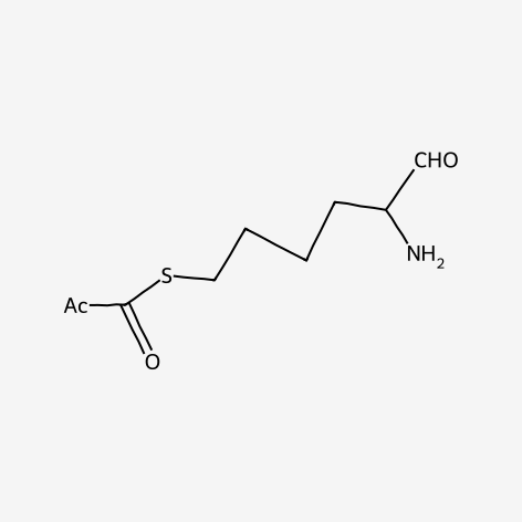 CC(=O)C(=O)SCCCCC(N)C=O